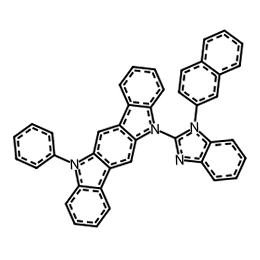 c1ccc(-n2c3ccccc3c3cc4c(cc32)c2ccccc2n4-c2nc3ccccc3n2-c2ccc3ccccc3c2)cc1